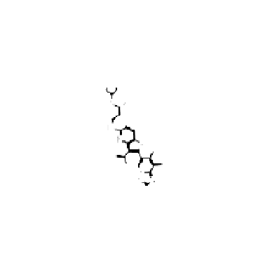 Cc1c(-c2[nH]c3ccc(N[C@@H](C)C[C@H](C)NC4COC4)nc3c2C(C)C)cn2ncnc2c1C